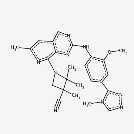 COc1cc(-c2nncn2C)ccc1Nc1ncc2cc(C)nc(N3CC(C)(C#N)C3(C)C)c2n1